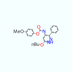 CCCCOc1cc(=NC(=O)Oc2ccc(OC)cc2)c(-c2ccccc2)n[nH]1